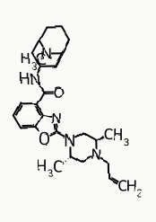 C=CCN1C[C@H](C)N(c2nc3c(C(=O)NC4CC5CCCC(C4)N5C)cccc3o2)C[C@H]1C